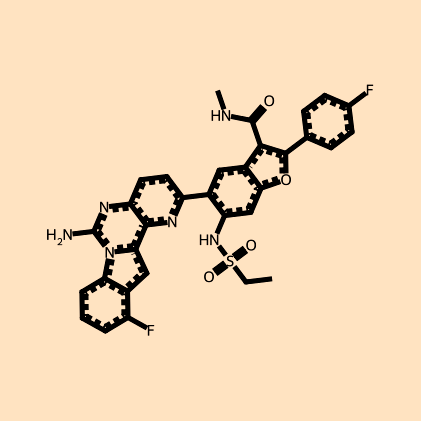 CCS(=O)(=O)Nc1cc2oc(-c3ccc(F)cc3)c(C(=O)NC)c2cc1-c1ccc2nc(N)n3c4cccc(F)c4cc3c2n1